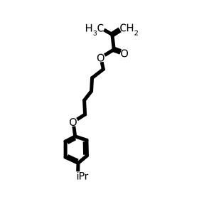 C=C(C)C(=O)OCCCCCOc1ccc(C(C)C)cc1